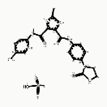 CS(=O)(=O)O.Cc1nc(C(=O)Nc2ccc(Cl)cn2)c(C(=O)Nc2ccc(N3CCOC3=N)cc2)s1